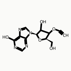 C#COC1C(O)[C@H](n2cnc3c(O)ncnc32)O[C@@H]1CO